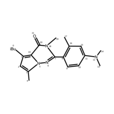 CCC(C)c1cc(C)n2nc(-c3ccc(N(C)C)cc3C)n(C)c(=O)c12